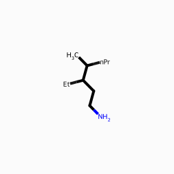 CCCC(C)C(CC)CCN